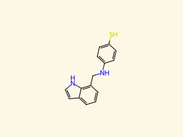 Sc1ccc(NCc2cccc3cc[nH]c23)cc1